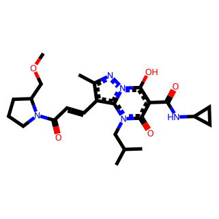 COCC1CCCN1C(=O)C=Cc1c(C)nn2c(O)c(C(=O)NC3CC3)c(=O)n(CC(C)C)c12